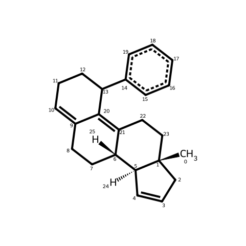 C[C@@]12CC=C[C@H]1[C@@H]1CCC3=CCCC(c4ccccc4)C3=C1CC2